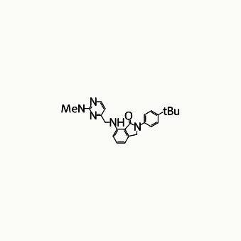 CNc1nccc(CNc2cccc3c2C(=O)N(c2ccc(C(C)(C)C)cc2)C3)n1